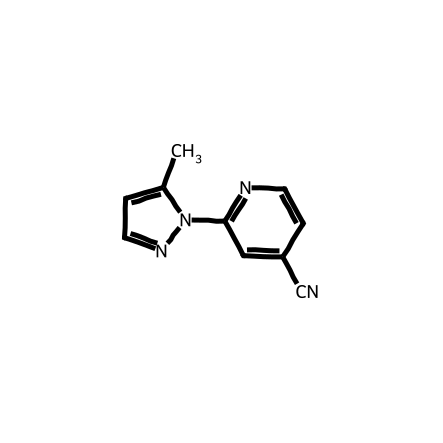 Cc1ccnn1-c1cc(C#N)ccn1